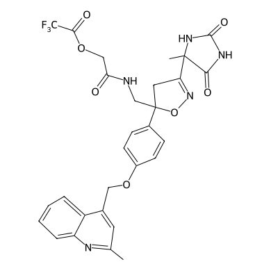 Cc1cc(COc2ccc(C3(CNC(=O)COC(=O)C(F)(F)F)CC(C4(C)NC(=O)NC4=O)=NO3)cc2)c2ccccc2n1